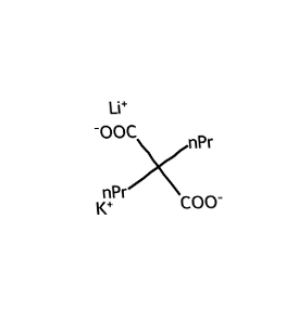 CCCC(CCC)(C(=O)[O-])C(=O)[O-].[K+].[Li+]